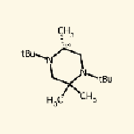 C[C@@H]1CN(C(C)(C)C)C(C)(C)CN1C(C)(C)C